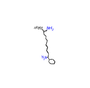 CCCCCC(CN)CCCCCCCCC(N)C1CCCCC1